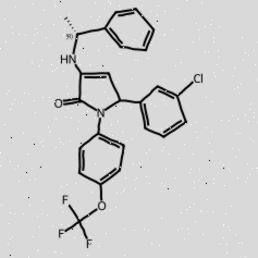 C[C@@H](NC1=CC(c2cccc(Cl)c2)N(c2ccc(OC(F)(F)F)cc2)C1=O)c1ccccc1